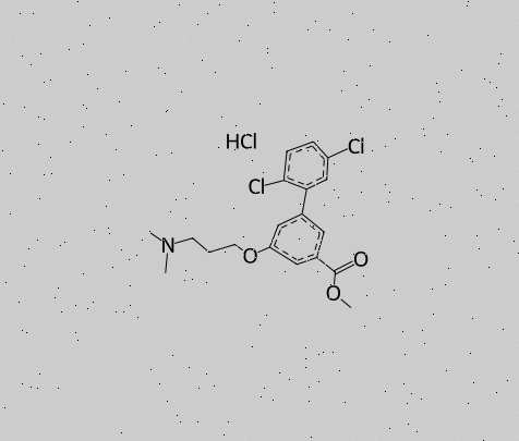 COC(=O)c1cc(OCCCN(C)C)cc(-c2cc(Cl)ccc2Cl)c1.Cl